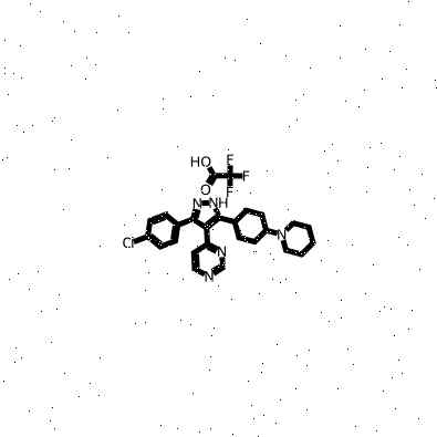 Clc1ccc(-c2n[nH]c(C3CCC(N4CCCCC4)CC3)c2-c2ccncn2)cc1.O=C(O)C(F)(F)F